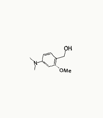 COc1cc(N(C)C)ccc1CO